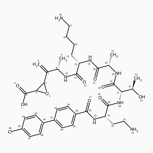 C=C(C1OC1C(=O)O)[C@H](C)NC(=O)[C@H](CCCCN)NC(=O)[C@H](C)NC(=O)[C@@H](NC(=O)[C@H](CCN)NC(=O)c1ccc(-c2ccc(Cl)cc2)cc1)[C@@H](C)O